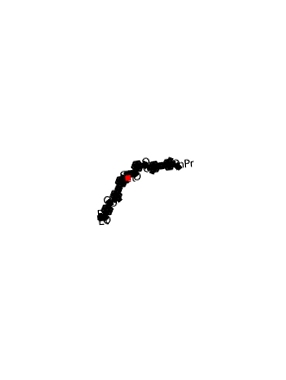 CCCC(C)(C)Oc1ccc(C(C)(C)c2ccc(OC(=O)c3cccc(C(=O)C(C)(C)C(C)(CC)Oc4ccc(C(C)(C)c5ccc(OC(=O)c6ccc(C(=O)C(C)(CC)CC)cc6)c(C)c5)cc4C)c3)c(C)c2)cc1C